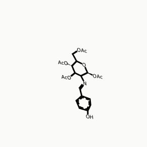 CC(=O)OCC1O[C@@H](OC(C)=O)C(/N=C/c2ccc(O)cc2)C(OC(C)=O)[C@@H]1OC(C)=O